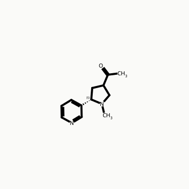 CC(=O)C1C[C@@H](c2cccnc2)N(C)C1